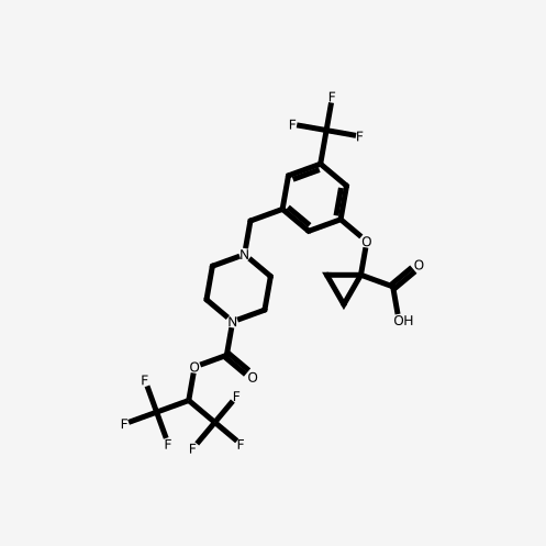 O=C(OC(C(F)(F)F)C(F)(F)F)N1CCN(Cc2cc(OC3(C(=O)O)CC3)cc(C(F)(F)F)c2)CC1